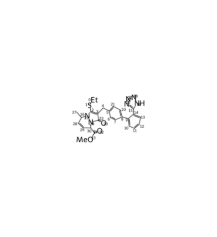 CCSc1c(Cc2ccc(-c3ccccc3-c3nnn[nH]3)cc2)c(=O)n2n1C(C)C=CC2C(=O)OC